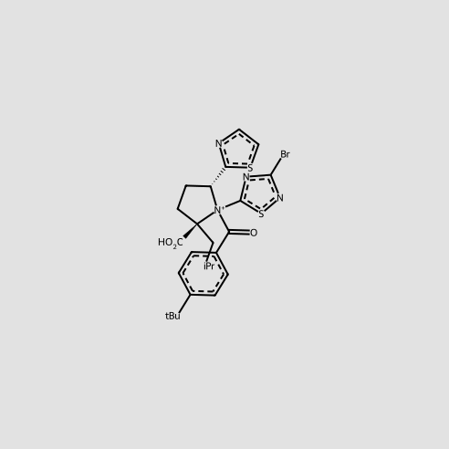 CC(C)C[C@]1(C(=O)O)CC[C@H](c2nccs2)[N+]1(C(=O)c1ccc(C(C)(C)C)cc1)c1nc(Br)ns1